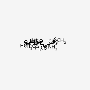 C/C(=C\c1csc(C)n1)[C@@H](N)C[C@@H]1O[C@]1(C)CCC(=O)[C@H](C)C[C@@H](C)C(=O)C(C)(C)CCC(=O)O